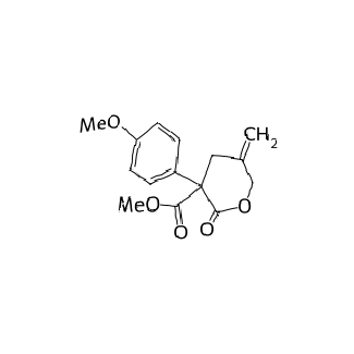 C=C1COC(=O)C(C(=O)OC)(c2ccc(OC)cc2)C1